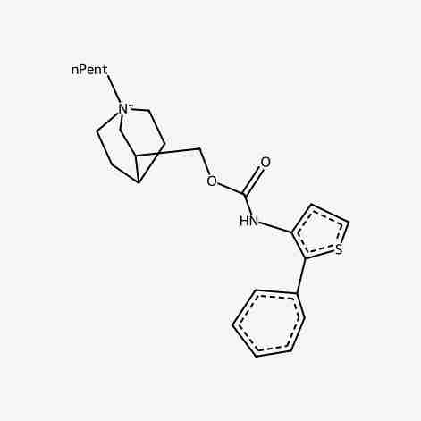 CCCCC[N+]12CCC(CC1)C(COC(=O)Nc1ccsc1-c1ccccc1)C2